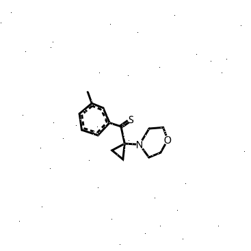 Cc1cccc(C(=S)C2(N3CCOCC3)CC2)c1